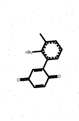 CCCCc1c(C)cccc1C1=CC(=O)C=CC1=O